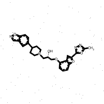 Cc1nnc(-c2cc3c(OC[C@@H](O)CN4CCC(c5ccc6oncc6c5)CC4)cccc3o2)o1